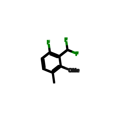 COc1c(C)ccc(F)c1C(F)F